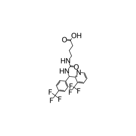 O=C(O)CCCNC(=O)NC(c1ccc(C(F)(F)F)cc1)c1ncccc1C(F)(F)F